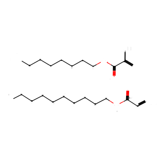 C=C(C)C(=O)OCCCCCCCC.C=CC(=O)OCCCCCCCCCC